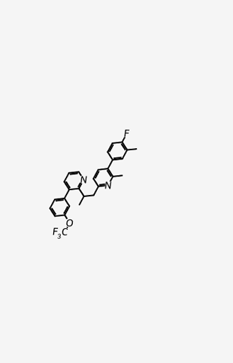 Cc1cc(-c2ccc(CC(C)c3ncccc3-c3cccc(OC(F)(F)F)c3)nc2C)ccc1F